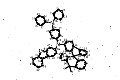 CC1(C)c2ccccc2C2(c3ccccc3-c3ccc(N(c4ccc(N(c5ccccc5)c5ccccc5)cc4)c4ccc5c(c4)oc4ccccc45)cc32)c2ccccc21